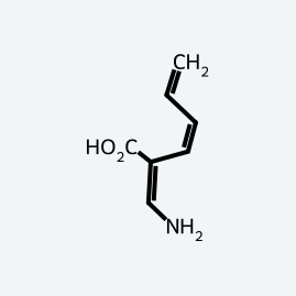 C=C/C=C\C(=C/N)C(=O)O